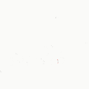 CCCCCCCCCCCCCCCCCCN(CCCCCCCCCCCCCCCCCC)C(=O)c1cc(NS(=O)(=O)c2cccc(C(=O)c3cc(C(=O)OCCC#N)c(N)s3)c2)c2ccccc2c1OC(=O)c1ccccc1